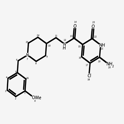 COc1cccc(CN2CCC(CNC(=O)c3cc(Cl)c(N)[nH]c3=O)CC2)c1